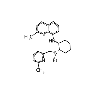 CCN(Cc1cccc(C)n1)[C@H]1CCCC[C@@H]1Nc1cccc2ccc(C)nc12